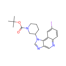 CC(C)(C)OC(=O)N1CCCC(n2cnc3cnc4ccc(I)cc4c32)C1